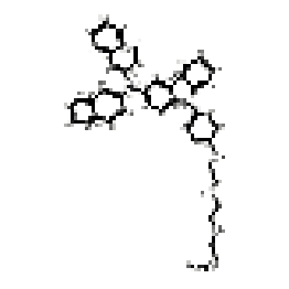 COCCOCCOCCOC1=CC=C(n2c3ccccc3c3cc(N(c4ccc5ccccc5c4)c4ccc5ccccc5c4)ccc32)CC1